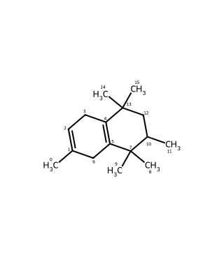 CC1=CCC2=C(C1)C(C)(C)C(C)CC2(C)C